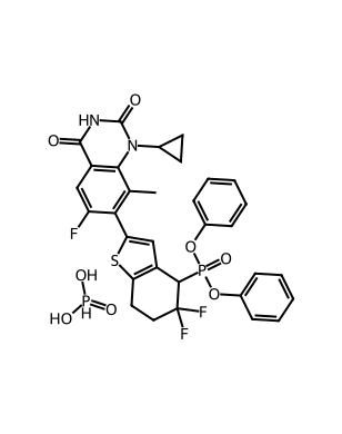 Cc1c(-c2cc3c(s2)CCC(F)(F)C3P(=O)(Oc2ccccc2)Oc2ccccc2)c(F)cc2c(=O)[nH]c(=O)n(C3CC3)c12.O=[PH](O)O